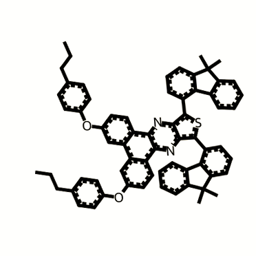 CCCc1ccc(Oc2ccc3c(c2)c2cc(Oc4ccc(CCC)cc4)ccc2c2nc4c(-c5cccc6c5-c5ccccc5C6(C)C)sc(-c5cccc6c5-c5ccccc5C6(C)C)c4nc32)cc1